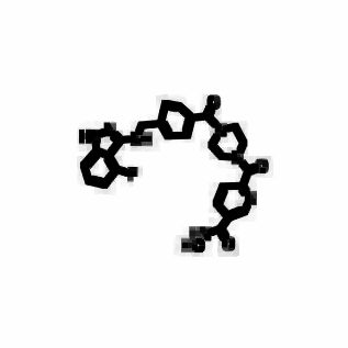 O=C(NO)c1ccc(C(=O)N2CCN(C(=O)c3ccc(CNc4n[nH]c5cccc(F)c45)cc3)CC2)nc1